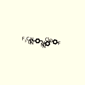 Fc1ccc(Oc2ccc3nnn(Cc4ccc(-c5noc(C(F)(F)F)n5)cc4)c3c2Cl)cc1